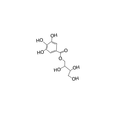 O=C(OCC(O)C(O)CO)c1cc(O)c(O)c(O)c1